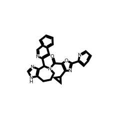 O=C(c1oc(-c2ccccn2)nc1C1CC1)N1CCCc2[nH]cnc2C1c1cc2ccccc2cn1